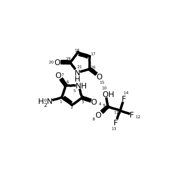 NC1=CC(=O)NC1=O.O=C(O)C(F)(F)F.O=C1C=CC(=O)N1